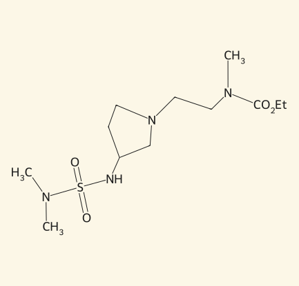 CCOC(=O)N(C)CCN1CCC(NS(=O)(=O)N(C)C)C1